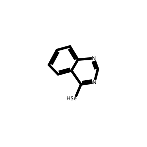 [SeH]c1ncnc2ccccc12